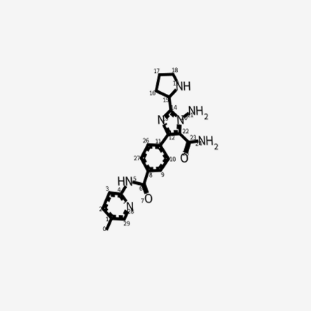 Cc1ccc(NC(=O)c2ccc(-c3nc(C4CCCN4)n(N)c3C(N)=O)cc2)nc1